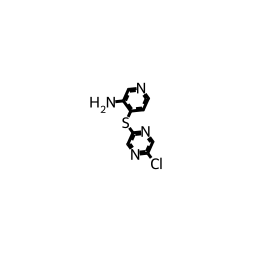 Nc1cnccc1Sc1cnc(Cl)cn1